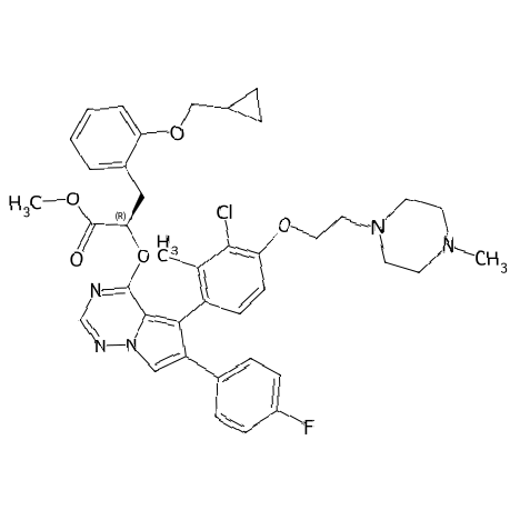 COC(=O)[C@@H](Cc1ccccc1OCC1CC1)Oc1ncnn2cc(-c3ccc(F)cc3)c(-c3ccc(OCCN4CCN(C)CC4)c(Cl)c3C)c12